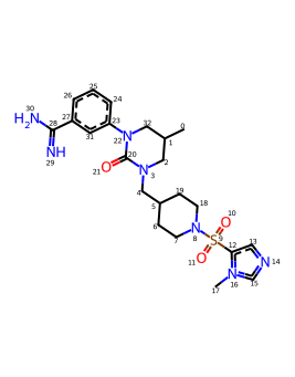 CC1CN(CC2CCN(S(=O)(=O)c3cncn3C)CC2)C(=O)N(c2cccc(C(=N)N)c2)C1